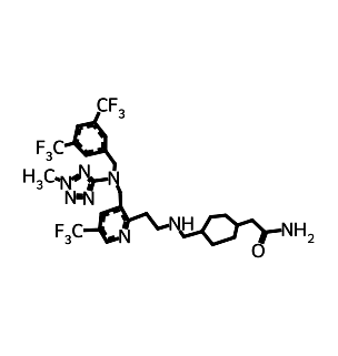 Cn1nnc(N(Cc2cc(C(F)(F)F)cc(C(F)(F)F)c2)Cc2cc(C(F)(F)F)cnc2CCNCC2CCC(CC(N)=O)CC2)n1